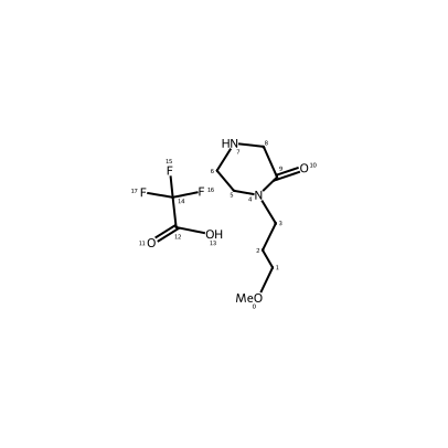 COCCCN1CCNCC1=O.O=C(O)C(F)(F)F